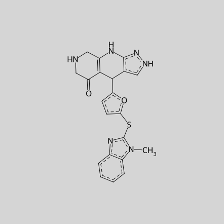 Cn1c(Sc2ccc(C3C4=C(CNCC4=O)Nc4n[nH]cc43)o2)nc2ccccc21